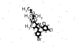 C=CCOC(C)(C)c1nnc(-c2nn(-c3ccc(Cl)cc3Cl)c(-c3ccc(Br)cc3)c2CC)o1